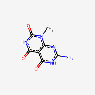 Cn1c(=O)[nH]c(=O)c2c(=O)[nH]c(N)nc21